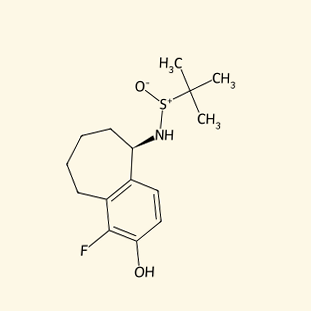 CC(C)(C)[S+]([O-])N[C@@H]1CCCCc2c1ccc(O)c2F